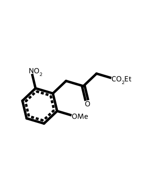 CCOC(=O)CC(=O)Cc1c(OC)cccc1[N+](=O)[O-]